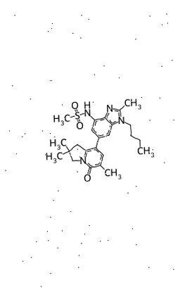 CCCCn1c(C)nc2c(NS(C)(=O)=O)cc(-c3cc(C)c(=O)n4c3CC(C)(C)C4)cc21